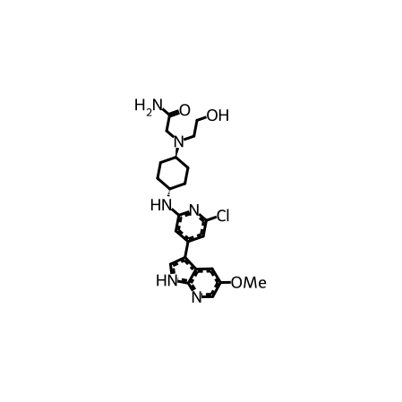 COc1cnc2[nH]cc(-c3cc(Cl)nc(N[C@H]4CC[C@H](N(CCO)CC(N)=O)CC4)c3)c2c1